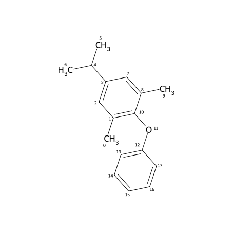 Cc1cc(C(C)C)cc(C)c1Oc1ccccc1